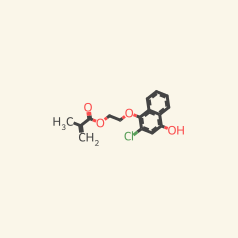 C=C(C)C(=O)OCCOc1c(Cl)cc(O)c2ccccc12